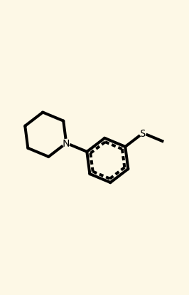 CSc1cccc(N2CCCCC2)c1